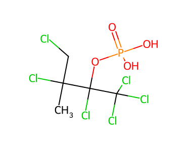 CC(Cl)(CCl)C(Cl)(OP(=O)(O)O)C(Cl)(Cl)Cl